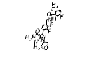 Cc1ccc(F)cc1C(=O)NCc1ccc(-c2nn(C3CCOCC3)c(N)c2C(N)=O)c(F)c1F